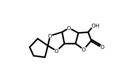 O=C1OC2C3OC4(CCCC4)OC3OC2C1O